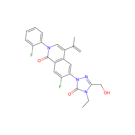 C=C(C)c1cn(-c2ccccc2F)c(=O)c2cc(F)c(-n3nc(CO)n(CC)c3=O)cc12